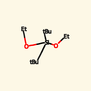 CCO[Si](OCC)(C(C)(C)C)C(C)(C)C